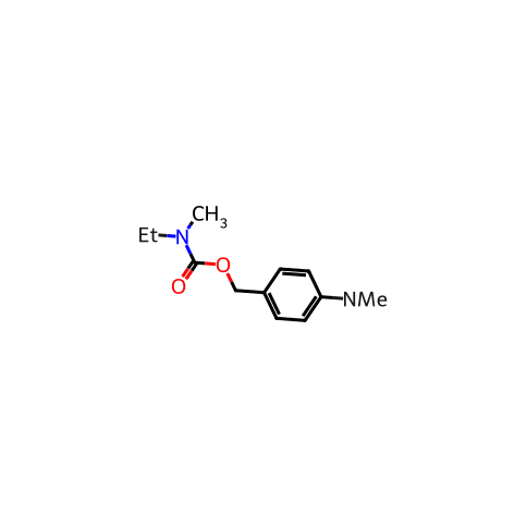 CCN(C)C(=O)OCc1ccc(NC)cc1